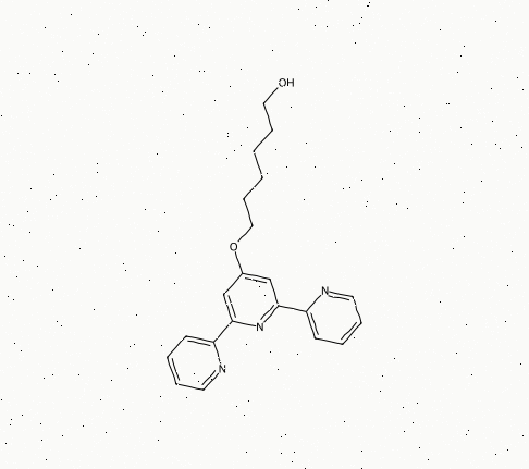 OCCCCCCOc1cc(-c2ccccn2)nc(-c2ccccn2)c1